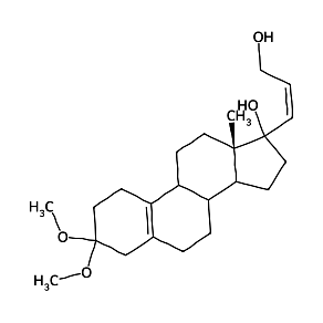 COC1(OC)CCC2=C(CCC3C2CC[C@@]2(C)C3CCC2(O)/C=C\CO)C1